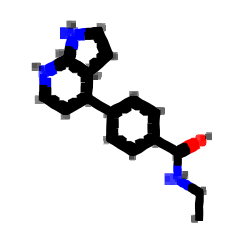 CCNC(=O)c1ccc(-c2ccnc3[nH]ccc23)cc1